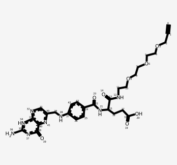 C#CCOCCOCCOCCNC(=O)C(CCC(=O)O)NC(=O)c1ccc(NCc2cnc3[nH]c(N)nc(=O)c3n2)cc1